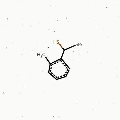 CCCC(S)c1ccccc1C